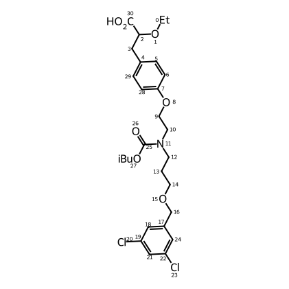 CCOC(Cc1ccc(OCCN(CCCOCc2cc(Cl)cc(Cl)c2)C(=O)OCC(C)C)cc1)C(=O)O